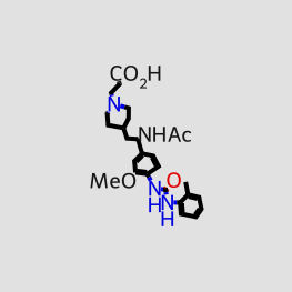 COc1cc(C(CC2CCN(CCC(=O)O)CC2)NC(C)=O)ccc1NC(=O)Nc1ccccc1C